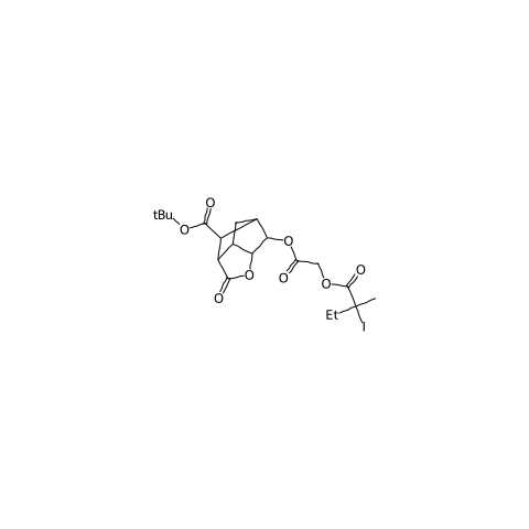 CCC(C)(I)C(=O)OCC(=O)OC1C2CC3C1OC(=O)C3C2C(=O)OC(C)(C)C